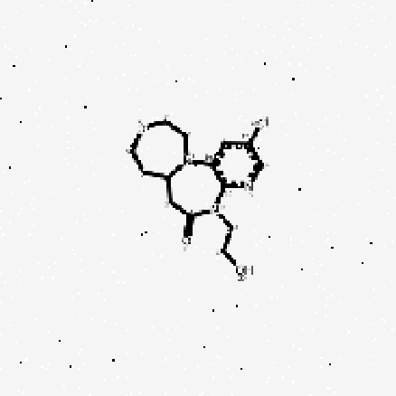 O=C1CC2CCOCCN2c2cc(Cl)cnc2N1CCO